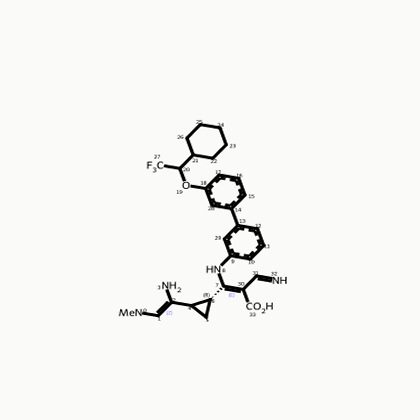 CN/C=C(\N)C1C[C@H]1/C(Nc1cccc(-c2cccc(OC(C3CCCCC3)C(F)(F)F)c2)c1)=C(/C=N)C(=O)O